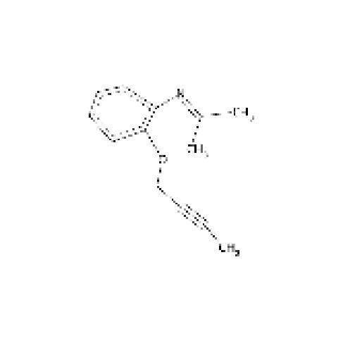 CC#CCOc1ccccc1N=C(C)C